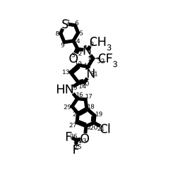 CN(C(=O)C1CCSCC1)[C@@H](c1ccc(NC2Cc3cc(Cl)c(OC(F)F)cc3C2)cn1)C(F)(F)F